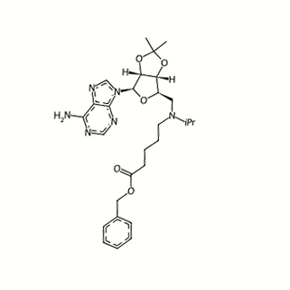 CC(C)N(CCCCC(=O)OCc1ccccc1)C[C@H]1O[C@@H](n2cnc3c(N)ncnc32)[C@@H]2OC(C)(C)O[C@@H]21